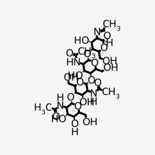 CC(=O)NC1[C@H](O[C@@H]2C(CO)O[C@@H](O[C@@H]3C(CO)O[C@@H](O[C@@H]4C(CO)O[C@@H]5OC(C)=NC5[C@H]4O)C(NC(C)=O)[C@H]3O)C(NC(C)=O)[C@H]2O)OC(CO)[C@@H](O)[C@@H]1O